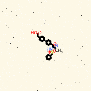 Cc1noc(-c2ccc(-c3ccc(CC(=O)O)cc3)cc2)c1NS(=O)(=O)Cc1ccccc1